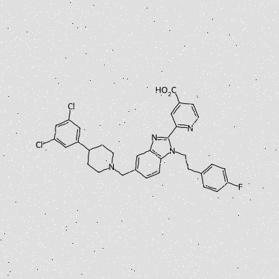 O=C(O)c1ccnc(-c2nc3cc(CN4CCC(c5cc(Cl)cc(Cl)c5)CC4)ccc3n2CCc2ccc(F)cc2)c1